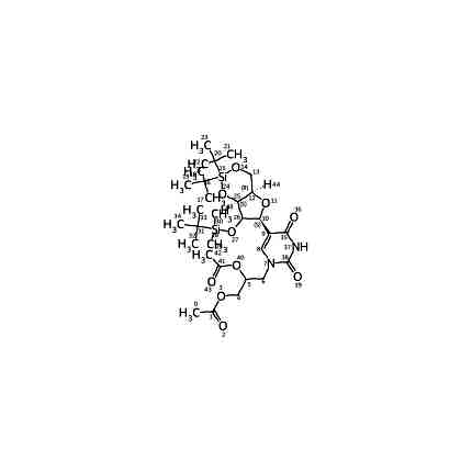 CC(=O)OCC(Cn1cc([C@@H]2O[C@@H]3CO[Si](C(C)(C)C)(C(C)(C)C)O[C@@H]3C2O[Si](C)(C)C(C)(C)C)c(=O)[nH]c1=O)OC(C)=O